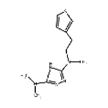 CN(C)c1nnc(N(C)CCc2ccsc2)[nH]1